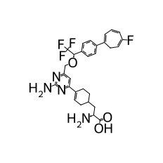 Nc1nc(CO[C@H](c2ccc(C3=CC=CC(F)=CC3)cc2)C(F)(F)F)cc(C2=CCC(C[C@H](N)C(=O)O)CC2)n1